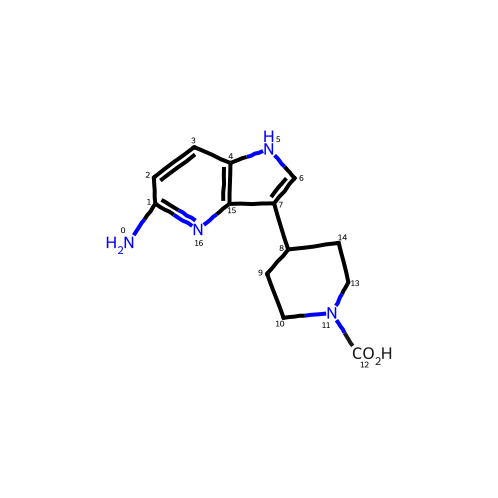 Nc1ccc2[nH]cc(C3CCN(C(=O)O)CC3)c2n1